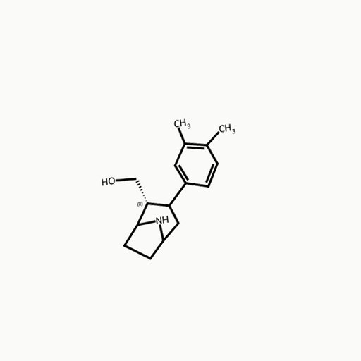 Cc1ccc(C2CC3CCC(N3)[C@@H]2CO)cc1C